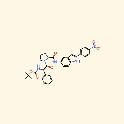 CC(C)(C)OC(=O)N[C@@H](C(=O)N1CCC[C@H]1C(=O)Nc1ccc2[nH]c(-c3ccc([N+](=O)[O-])cc3)cc2c1)c1ccccc1